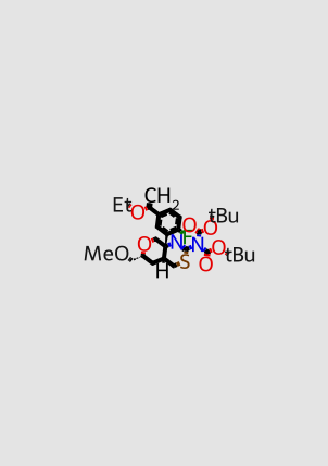 C=C(OCC)c1ccc(F)c([C@]23CO[C@@H](COC)C[C@H]2CSC(N(C(=O)OC(C)(C)C)C(=O)OC(C)(C)C)=N3)c1